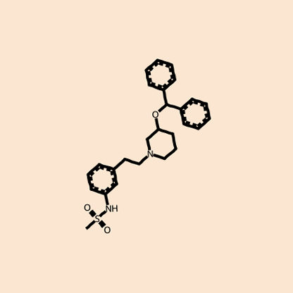 CS(=O)(=O)Nc1cccc(CCN2CCCC(OC(c3ccccc3)c3ccccc3)C2)c1